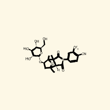 CC12C[C@@H](O[C@H]3O[C@H](CO)[C@@H](O)[C@H](O)[C@H]3O)C(C)(O1)C1(C)C(=O)N(c3ccc(C#N)c(C(F)(F)F)c3)C(=O)[C@@H]21